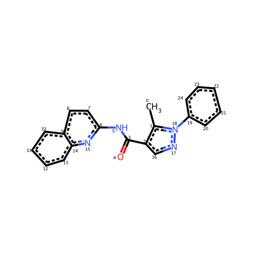 Cc1c(C(=O)Nc2ccc3ccccc3n2)cnn1-c1ccccc1